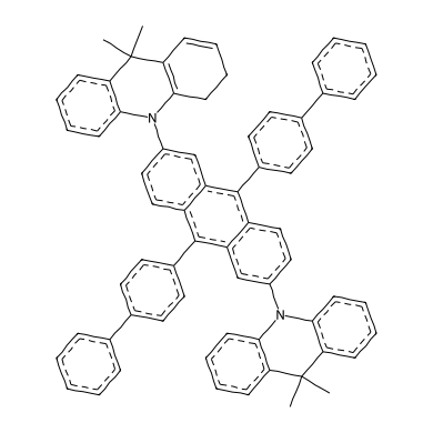 CC1(C)C2=C(CCC=C2)N(c2ccc3c(-c4ccc(-c5ccccc5)cc4)c4cc(N5c6ccccc6C(C)(C)c6ccccc65)ccc4c(-c4ccc(-c5ccccc5)cc4)c3c2)c2ccccc21